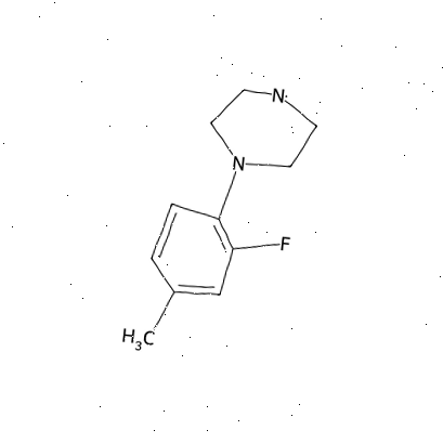 Cc1ccc(N2CC[N]CC2)c(F)c1